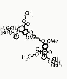 C=CCOC(=O)Nc1cc(OCCCCCOc2cc(NC(=O)OCC=C)c(C(=O)N3CCC[C@H]3CO[Si](C)(C)C(C)(C)C)cc2OC)c(OC)cc1C(=O)N1CCCC1CO[Si](C)(C)C(C)(C)C